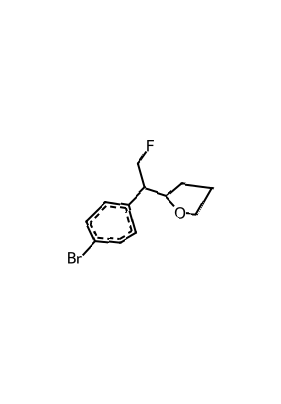 FCC(c1ccc(Br)cc1)C1CCCO1